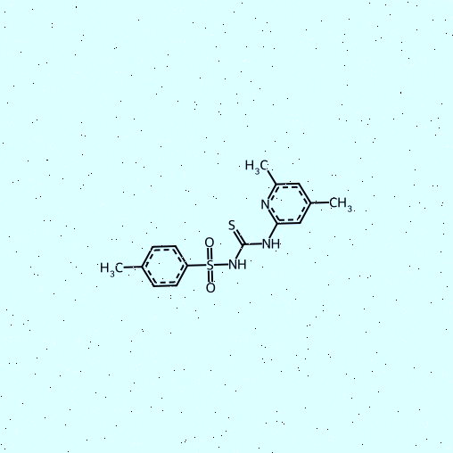 Cc1ccc(S(=O)(=O)NC(=S)Nc2cc(C)cc(C)n2)cc1